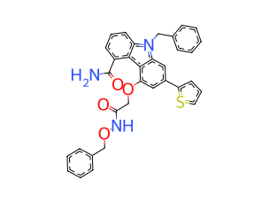 NC(=O)c1cccc2c1c1c(OCC(=O)NOCc3ccccc3)cc(-c3cccs3)cc1n2Cc1ccccc1